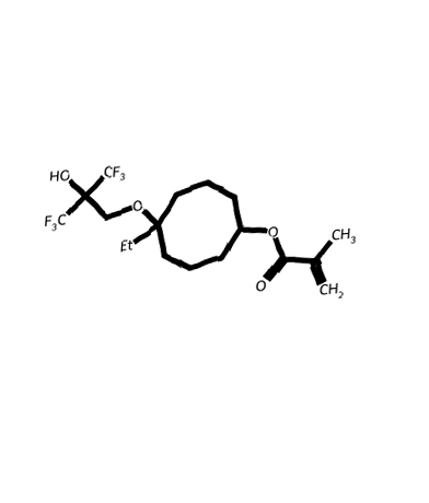 C=C(C)C(=O)OC1CCCC(CC)(OCC(O)(C(F)(F)F)C(F)(F)F)CCC1